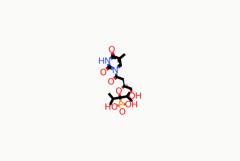 Cc1cn(C(=O)C[C@@H](CO)OC(C(C)C)(C(C)C)P(=O)(O)O)c(=O)[nH]c1=O